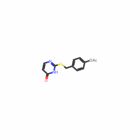 CC(=O)Oc1ccc(CSc2nccc(=O)[nH]2)cc1